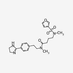 CN(CCc1ccc(C2=NCCN2)cc1)C(=O)CCCN(C)S(=O)(=O)c1ccoc1